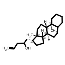 C=CCC(O)C[C@H]1CC[C@H]2[C@@H]3CCC4CCCC[C@]4(C)[C@H]3CC[C@]12C